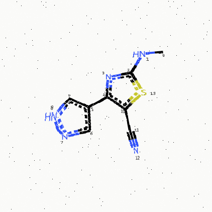 CNc1nc(-c2cn[nH]c2)c(C#N)s1